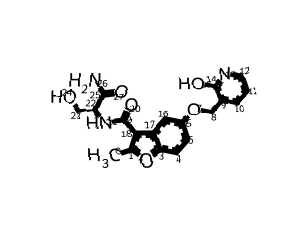 Cc1oc2ccc(OCc3cccnc3O)cc2c1C(=O)N[C@@H](CO)C(N)=O